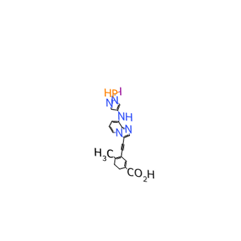 CC1=C(C#Cc2cnc3c(Nc4cnn(PI)c4)cccn23)C=C(C(=O)O)CC1